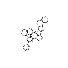 c1ccc(-c2nc(-c3ccccc3)nc(-c3cccc4c5sc6c7ccccc7ccc6c5n(-c5ccccc5)c34)n2)cc1